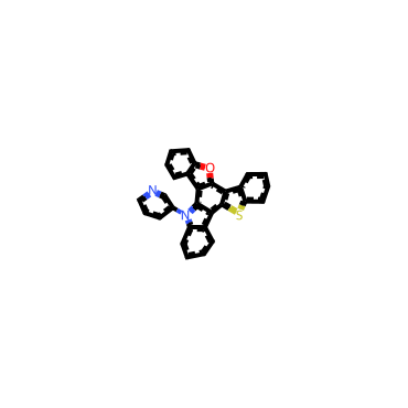 c1cncc(-n2c3ccccc3c3c4sc5ccccc5c4c4oc5ccccc5c4c32)c1